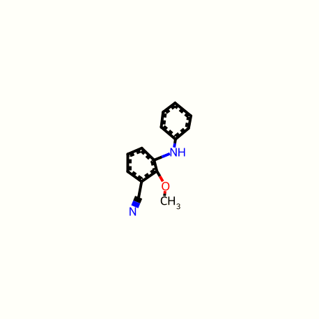 COc1c(C#N)cccc1Nc1ccccc1